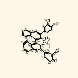 Cc1c(-c2ccc(Cl)c(Cl)c2)cc2ccccc2c1C1=c2ccccc2=CC(c2ccc(Cl)c(Cl)c2)[C@@H]1C